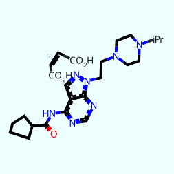 CC(C)N1CCN(CCn2ncc3c(NC(=O)C4CCCC4)ncnc32)CC1.O=C(O)/C=C\C(=O)O